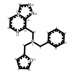 c1ccc(CN(Cc2ccco2)Cc2nccn3cnnc23)cc1